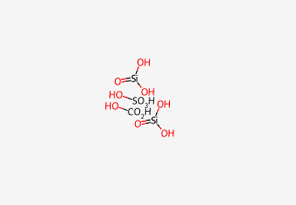 O=C(O)O.O=S(=O)(O)O.O=[Si](O)O.O=[Si](O)O